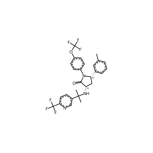 Cc1cccc([C@@H]2C[C@H](NC(C)(C)c3ccc(C(F)(F)F)nc3)C(=O)N2c2ccc(OC(F)(F)F)cc2)c1